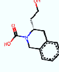 O=C(O)N1Cc2ccccc2C[C@H]1CCO